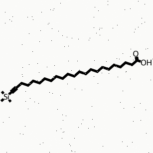 C[Si](C)(C)C#CCCCCCCCCCCCCCCCCCCCCC(=O)O